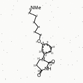 CNCCCCCCOc1cccc(N2CCC(=O)NC2=O)c1